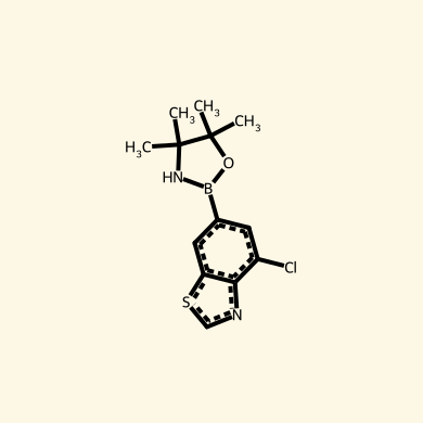 CC1(C)NB(c2cc(Cl)c3ncsc3c2)OC1(C)C